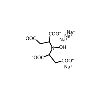 O=C([O-])CC(C(=O)[O-])N(O)C(CC(=O)[O-])C(=O)[O-].[Na+].[Na+].[Na+].[Na+]